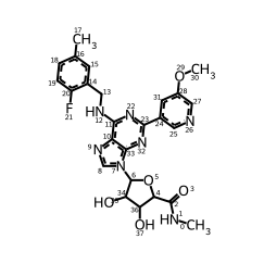 CNC(=O)C1OC(n2cnc3c(NCc4cc(C)ccc4F)nc(-c4cncc(OC)c4)nc32)C(O)C1O